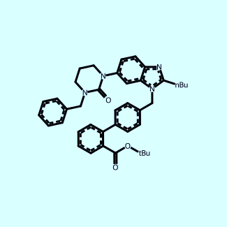 CCCCc1nc2ccc(N3CCCN(Cc4ccccc4)C3=O)cc2n1Cc1ccc(-c2ccccc2C(=O)OC(C)(C)C)cc1